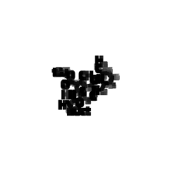 CCCCCCCCNC(=O)Nc1sc(C(=O)N(C)Cc2cccc(C)n2)c(C)c1C(=O)OC(C)(C)C